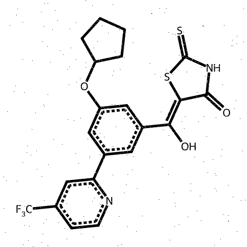 O=C1NC(=S)S/C1=C(/O)c1cc(OC2CCCC2)cc(-c2cc(C(F)(F)F)ccn2)c1